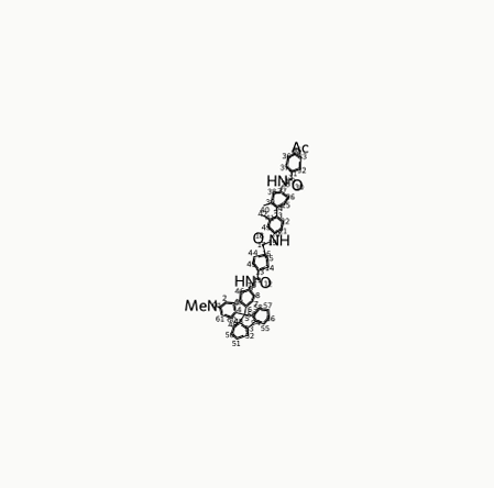 CNc1ccc(C2(c3ccc(NC(=O)c4ccc(C(=O)Nc5ccc(-c6ccc(NC(=O)c7ccc(C(C)=O)cc7)cc6C)c(C)c5)cc4)cc3)c3ccccc3-c3ccccc32)cc1